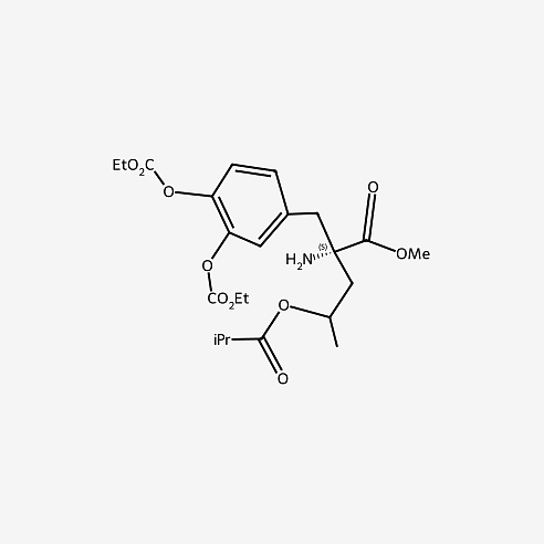 CCOC(=O)Oc1ccc(C[C@](N)(CC(C)OC(=O)C(C)C)C(=O)OC)cc1OC(=O)OCC